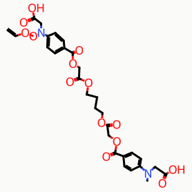 C=COON(CC(=O)O)c1ccc(C(=O)OCC(=O)OCCCCOC(=O)COC(=O)c2ccc(N(C)CC(=O)O)cc2)cc1